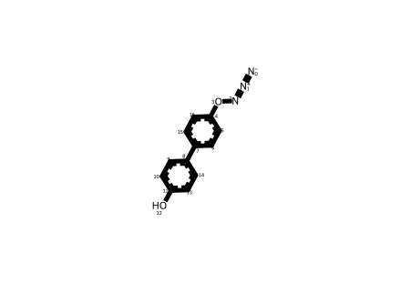 [N-]=[N+]=NOc1ccc(-c2ccc(O)cc2)cc1